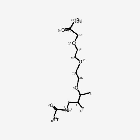 CC(C)C(=O)NCC(F)C(C)OCCOCCOCC(=O)C(C)(C)C